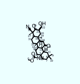 COC(=O)N[C@]12CCC(C)(C)C[C@H]1[C@H]1C(=O)C=C3[C@@]4(C)C/C(=C/O)C(=O)[C@@](C)(C#N)C4CC[C@@]3(C)[C@]1(C)CC2